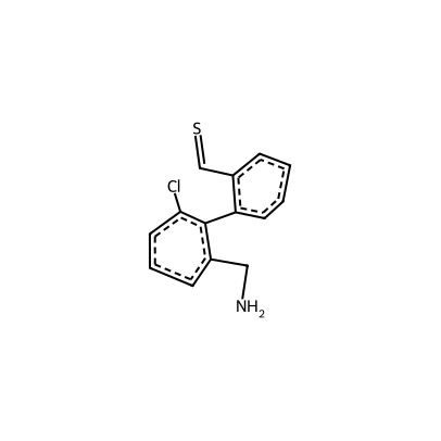 NCc1cccc(Cl)c1-c1ccccc1C=S